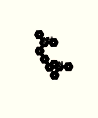 C1=C(c2cccc(-c3ccc(-c4cccc5c4ccc4nc(-c6ccccc6)cc(-c6ccccc6)c45)cc3)c2)C=C(c2ccccc2)NC1c1ccccc1